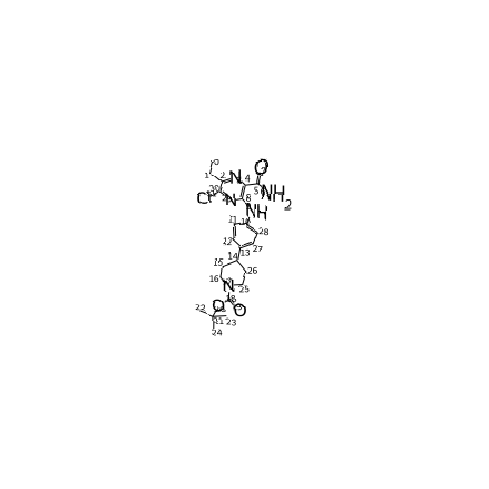 CCc1nc(C(N)=O)c(Nc2ccc(C3CCN(C(=O)OC(C)(C)C)CC3)cc2)nc1Cl